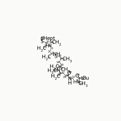 C=C(CCN1C(=C)CC(SCCCCCCC)C1=C)NCCC(C)CCC(C)(C)N(C)C(=C)CCC(=O)NCCN(C)C(=O)C(C)(C)C